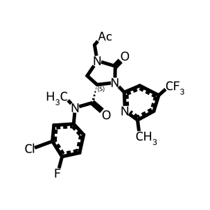 CC(=O)CN1C[C@@H](C(=O)N(C)c2ccc(F)c(Cl)c2)N(c2cc(C(F)(F)F)cc(C)n2)C1=O